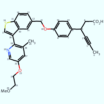 CC#CC(CC(=O)O)c1ccc(OCc2ccc3scc(-c4ncc(OCCOC)cc4C)c3c2)cc1